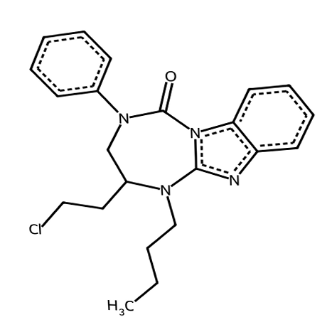 CCCCN1c2nc3ccccc3n2C(=O)N(c2ccccc2)CC1CCCl